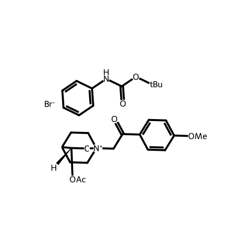 CC(C)(C)OC(=O)Nc1ccccc1.COc1ccc(C(=O)C[N+]23CCC(CC2)[C@@H](OC(C)=O)C3)cc1.[Br-]